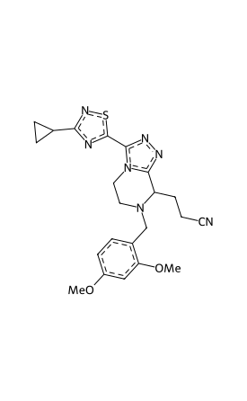 COc1ccc(CN2CCn3c(-c4nc(C5CC5)ns4)nnc3C2CCC#N)c(OC)c1